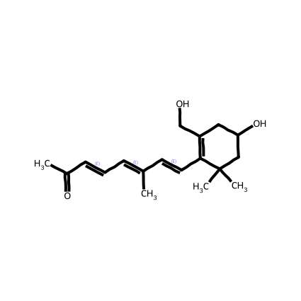 CC(=O)/C=C/C=C(C)/C=C/C1=C(CO)CC(O)CC1(C)C